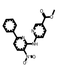 COC(=O)c1ccc(Nc2nc(-c3ccccc3)ccc2[N+](=O)[O-])nc1